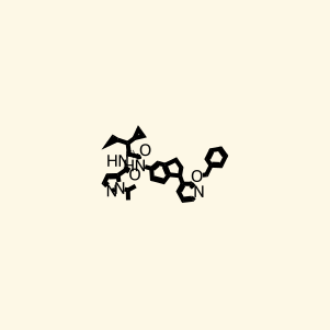 CC(C)n1nccc1C(=O)N[C@H](C(=O)Nc1ccc2c(c1)CCC2c1cccnc1OCc1ccccc1)C(C1CC1)C1CC1